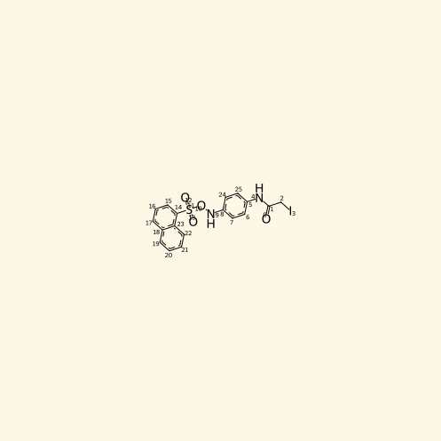 O=C(CI)Nc1ccc(NOS(=O)(=O)c2cccc3ccccc23)cc1